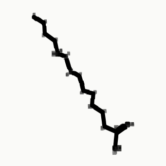 CCCCNSSCCCCCCC(=O)O